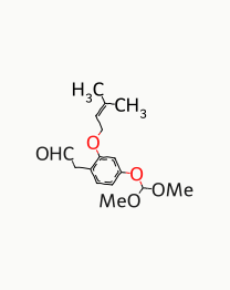 COC(OC)Oc1ccc(CC=O)c(OCC=C(C)C)c1